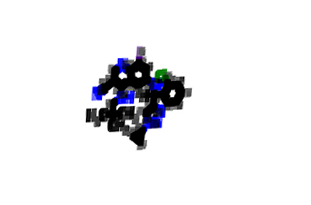 [2H][C@@](Nc1cc(I)c2ncc(C#N)c(NCC(C)(C)C)c2c1)(c1cn(C2CC2)nn1)c1ccccc1Cl